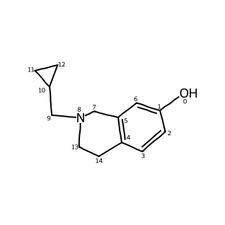 Oc1ccc2c(c1)CN(CC1CC1)CC2